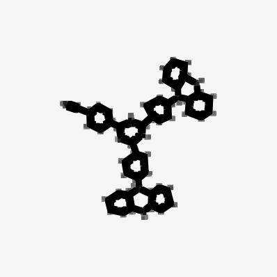 N#Cc1ccc(-c2nc(-c3ccc(N4c5ccccc5Sc5ccccc54)cc3)nc(-c3ccc(N4c5ccccc5Sc5ccccc54)cc3)n2)cc1